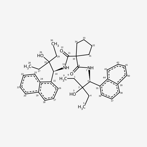 CCC(O)(CC)[C@@H](NC(=O)C1(C(=O)N[C@@H](c2cccc3ccccc23)C(O)(CC)CC)CCCC1)c1cccc2ccccc12